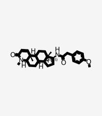 COc1ccc(CC(=O)N[C@H]2CC[C@H]3[C@@H]4CC[C@H]5N(C)C(=O)C=C[C@]5(C)[C@H]4CC[C@]23C)cc1